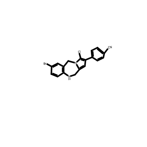 N#Cc1ccc(-c2cc3n(c2Cl)Cc2cc(Br)ccc2NC3)cc1